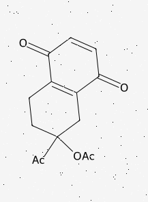 CC(=O)OC1(C(C)=O)CCC2=C(C1)C(=O)C=CC2=O